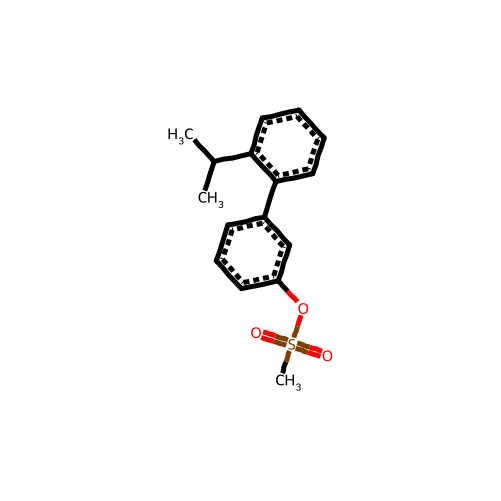 CC(C)c1ccccc1-c1cccc(OS(C)(=O)=O)c1